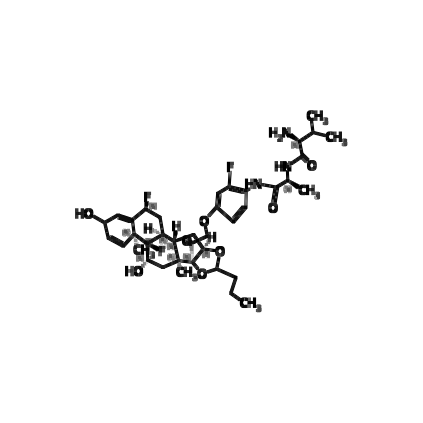 CCCC1O[C@@H]2C[C@H]3[C@@H]4C[C@H](F)C5=CC(O)C=C[C@]5(C)[C@@]4(F)[C@@H](O)C[C@]3(C)[C@]2(C(=O)COc2ccc(NC(=O)[C@H](C)NC(=O)[C@@H](N)C(C)C)c(F)c2)O1